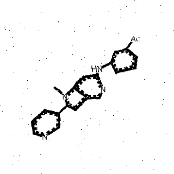 CC(=O)c1cccc(Nc2cc3c(cn2)cc(-c2cccnc2)n3C)c1